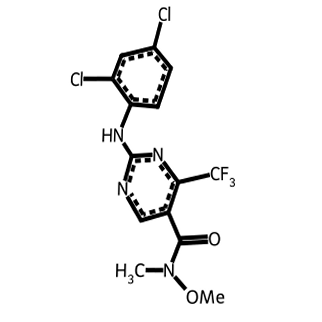 CON(C)C(=O)c1cnc(Nc2ccc(Cl)cc2Cl)nc1C(F)(F)F